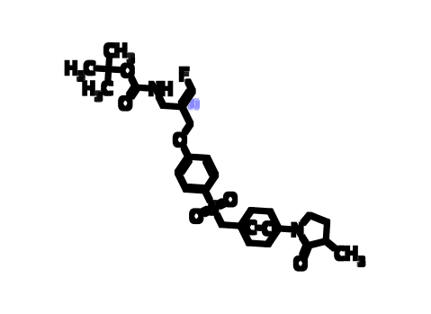 CC1CCN(C23CCC(CS(=O)(=O)c4ccc(OC/C(=C/F)CNC(=O)OC(C)(C)C)cc4)(CC2)CC3)C1=O